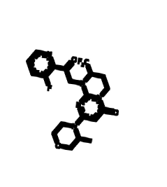 CC1COCCN1c1cc(=O)n2c(n1)N(CC(=O)c1ncccc1F)C(C(F)(F)F)CC2